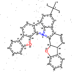 CC(C)(C)c1cc2c3c(n4c2c(c1)c1ccc2c5ccccc5oc2c14)C1Oc2ccccc2C1C=C3